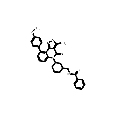 COc1ccc(-c2cccc3c2c2noc(C)c2c(=O)n3C2CCCC(CNC(=O)c3ccccc3)C2)cc1